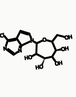 OCC1OC(n2ccc3c(Cl)ncnc32)C(O)[C@@H](O)C(O)[C@@H]1O